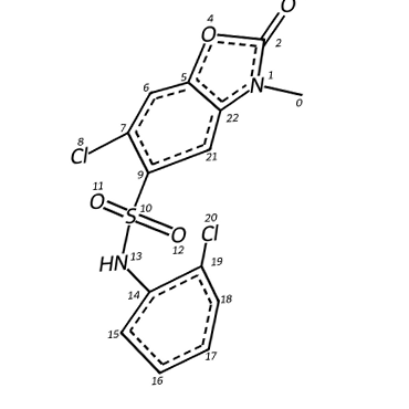 Cn1c(=O)oc2cc(Cl)c(S(=O)(=O)Nc3ccccc3Cl)cc21